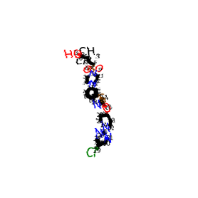 CC(C)(O)CCCS(=O)(=O)N1CCN(c2ccc3nc(OC4CCN(c5ncc(Cl)cn5)CC4)sc3c2)CC1